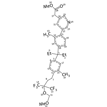 CCC(CC)(c1ccc(CCC(OCOC)(C(F)(F)F)C(F)(F)F)c(C)c1)c1ccc(-c2cncc(CC(=O)OC)c2)c(C)c1